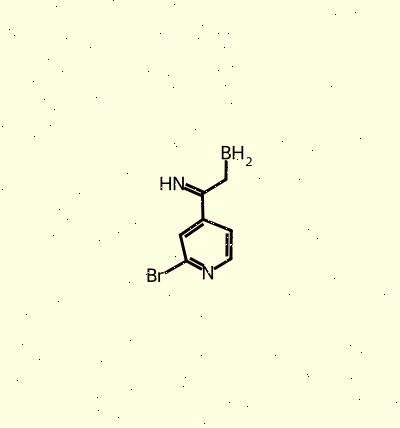 BCC(=N)c1ccnc(Br)c1